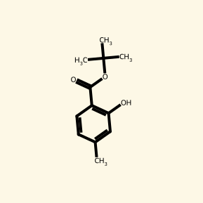 Cc1ccc(C(=O)OC(C)(C)C)c(O)c1